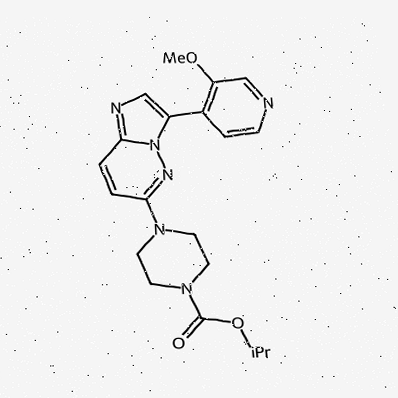 COc1cnccc1-c1cnc2ccc(N3CCN(C(=O)OC(C)C)CC3)nn12